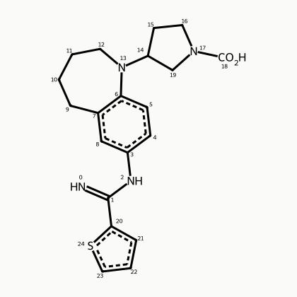 N=C(Nc1ccc2c(c1)CCCCN2C1CCN(C(=O)O)C1)c1cccs1